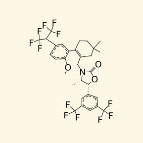 COc1ccc(C(C(F)(F)F)C(F)(F)F)cc1C1=C(CN2C(=O)O[C@H](c3cc(C(F)(F)F)cc(C(F)(F)F)c3)[C@@H]2C)CC(C)(C)CC1